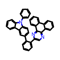 c1ccc(-n2c3ccccc3c3cc(-c4ccccc4-c4cnc5c6ccccc6c6ccccc6c5n4)ccc32)cc1